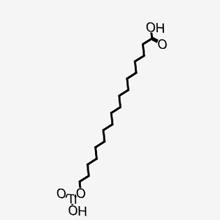 O=C(O)CCCCCCCCCCCCCCCCC[O][Ti](=[O])[OH]